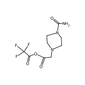 NC(=O)N1CCN(CC(=O)OC(=O)C(F)(F)F)CC1